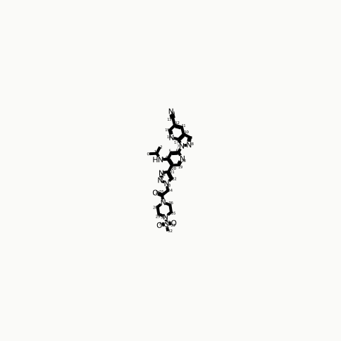 CC(C)Nc1cc(-n2ncc3cc(C#N)cnc32)ncc1-c1cn(CC(=O)N2CCN(S(C)(=O)=O)CC2)nn1